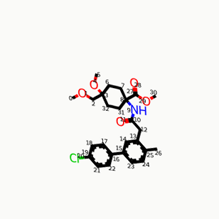 COCC1(OC)CCC(NC(=O)Cc2cc(-c3ccc(Cl)cc3)ccc2C)(C(=O)OC)CC1